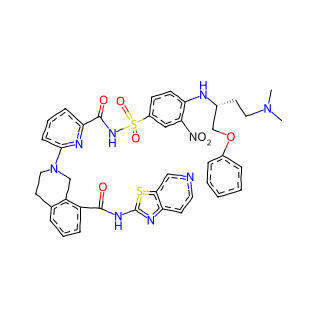 CN(C)CC[C@H](COc1ccccc1)Nc1ccc(S(=O)(=O)NC(=O)c2cccc(N3CCc4cccc(C(=O)Nc5nc6ccncc6s5)c4C3)n2)cc1[N+](=O)[O-]